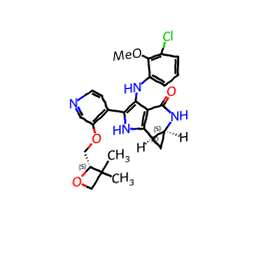 COc1c(Cl)cccc1Nc1c(-c2ccncc2OC[C@H]2OCC2(C)C)[nH]c2c1C(=O)N[C@H]1C[C@@H]21